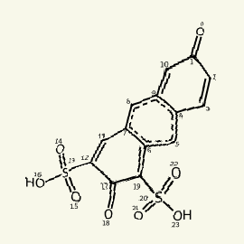 O=C1C=Cc2cc3c(cc2=C1)C=C(S(=O)(=O)O)C(=O)C=3S(=O)(=O)O